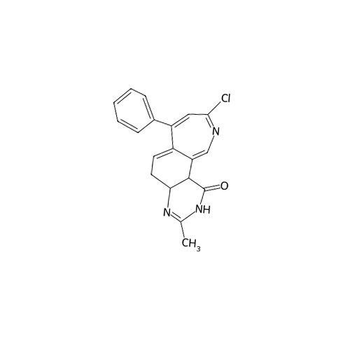 CC1=NC2CC=C3C(c4ccccc4)=CC(Cl)=NC=C3C2C(=O)N1